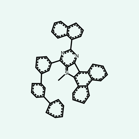 C[SiH]1c2c(-c3cccc(-c4cccc(-c5ccccc5)c4)c3)nc(-c3cccc4ccccc34)nc2-c2c1c1ccccc1c1ccccc21